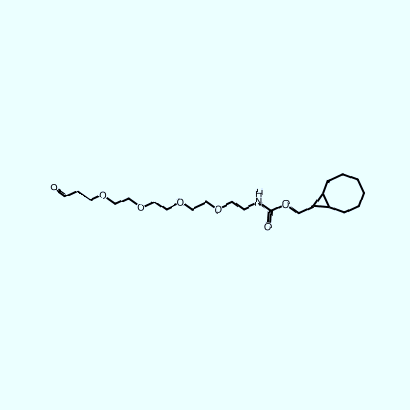 O=CCCOCCOCCOCCOCCNC(=O)OCC1C2CCCCCCC21